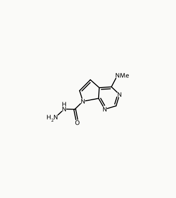 CNc1ncnc2c1ccn2C(=O)NN